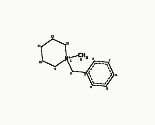 C[N+]1(Cc2ccccc2)CCCCC1